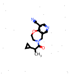 CC(C(=O)N1CCOc2c(C#N)cncc2C1)C1CC1